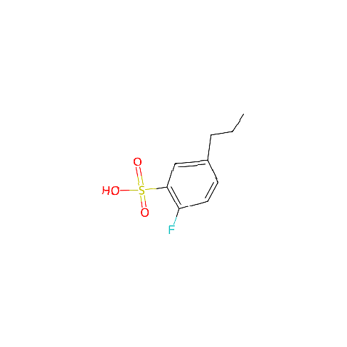 CCCc1ccc(F)c(S(=O)(=O)O)c1